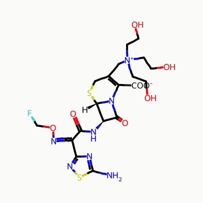 Nc1nc(/C(=N/OCF)C(=O)N[C@@H]2C(=O)N3C(C(=O)[O-])=C(C[N+](CCO)(CCO)CCO)CS[C@@H]23)ns1